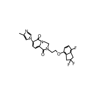 Cc1cn(-c2ccc3n(c2=O)CCN(CCOc2ccc(F)c4c2CC(F)(F)C4)C3=O)cn1